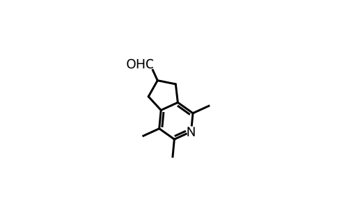 Cc1nc(C)c2c(c1C)CC(C=O)C2